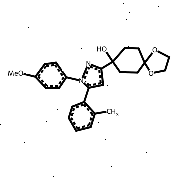 COc1ccc(-n2nc(C3(O)CCC4(CC3)OCCO4)cc2-c2ccccc2C)cc1